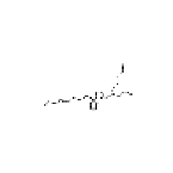 CCCCCCCCC(=O)OCC(CCC)CCCCC